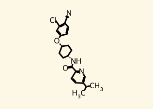 CC(C)c1ccc(C(=O)N[C@H]2CC[C@H](Oc3ccc(C#N)c(Cl)c3)CC2)nc1